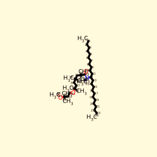 CCCCCCCCCCCCC(CCCCCCCCCCCC)N(C)C(=O)C(C)(C)CC(C)(C)CCC(C)(C)OCCC(C)(C)OC